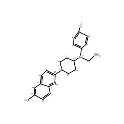 CCN(c1ccc(Cl)cc1)C1CCN(c2ccc3cc([O])ccc3n2)CC1